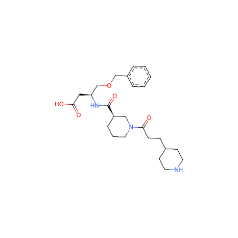 O=C(O)C[C@@H](COCc1ccccc1)NC(=O)[C@@H]1CCCN(C(=O)CCC2CCNCC2)C1